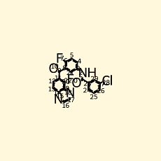 O=C(Nc1ccc(F)c(C(=O)c2ccc3nccnc3c2)c1F)c1cccc(Cl)c1